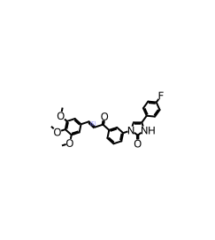 COc1cc(/C=C/C(=O)c2cccc(-n3cc(-c4ccc(F)cc4)[nH]c3=O)c2)cc(OC)c1OC